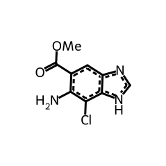 COC(=O)c1cc2nc[nH]c2c(Cl)c1N